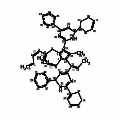 C=C/C=C\C(=C)Cc1c(/C=C\C)c(/C(=C\C)C2=NC(c3ccccc3)NC(C3=CC=CCC3)=N2)c(C)n1C1=NC(c2ccccc2)=NC(C2CC=CCC2)N1